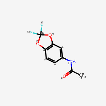 O=C(Nc1ccc2c(c1)OC(F)(F)O2)C(F)(F)F